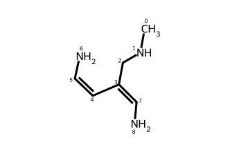 CNCC(/C=C\N)=C/N